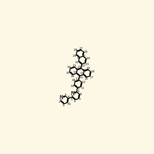 c1cncc(-c2cccc(-c3ccc(-c4c5ccccc5c(-c5ccc6ccccc6c5)c5ccccc45)cc3)n2)c1